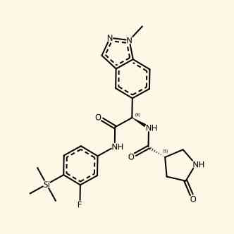 Cn1ncc2cc([C@@H](NC(=O)[C@@H]3CNC(=O)C3)C(=O)Nc3ccc([Si](C)(C)C)c(F)c3)ccc21